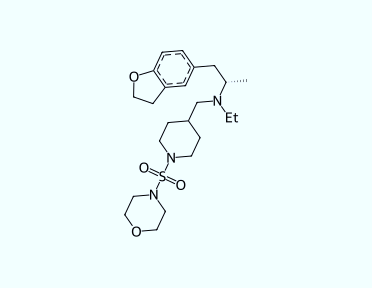 CCN(CC1CCN(S(=O)(=O)N2CCOCC2)CC1)[C@@H](C)Cc1ccc2c(c1)CCO2